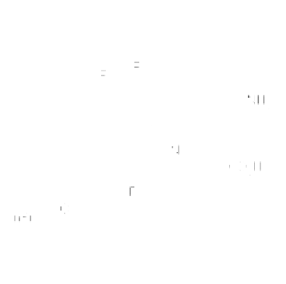 CCCOc1ccc(F)c(-c2nc(C(=O)O)c(N)cc2F)c1F